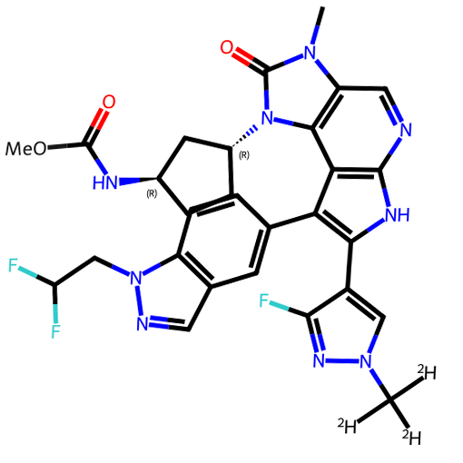 [2H]C([2H])([2H])n1cc(-c2[nH]c3ncc4c(c3c2-c2ccc3c(cnn3CC(F)F)c2)n([C@@H]2CC[C@@H](NC(=O)OC)C2)c(=O)n4C)c(F)n1